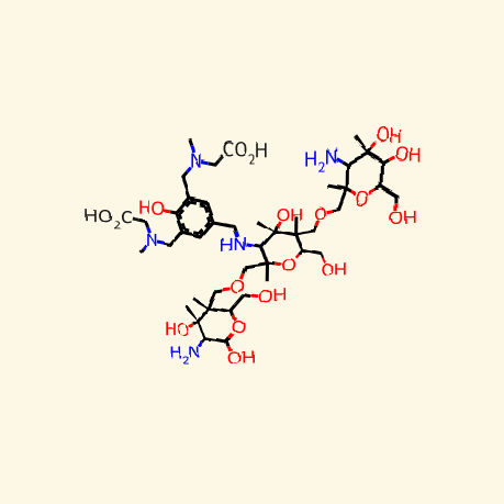 CN(CC(=O)O)Cc1cc(CNC2C(C)(COCC3(C)C(CO)OC(O)C(N)[C@]3(C)O)OC(CO)C(C)(COCC3(C)OC(CO)C(O)[C@@](C)(O)C3N)[C@@]2(C)O)cc(CN(C)CC(=O)O)c1O